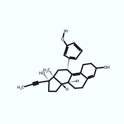 CC#C[C@]1(O)CC[C@H]2[C@@H]3CCC4=CC(O)CCC4=C3[C@@H](c3cccc(OC(C)C)c3)C[C@@]21C